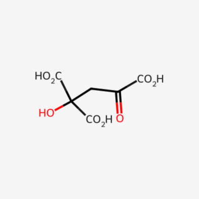 O=C(O)C(=O)CC(O)(C(=O)O)C(=O)O